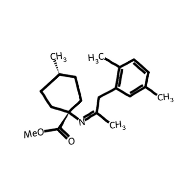 COC(=O)[C@]1(/N=C(/C)Cc2cc(C)ccc2C)CC[C@@H](C)CC1